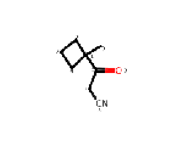 CC1(C(=O)CC#N)CCC1